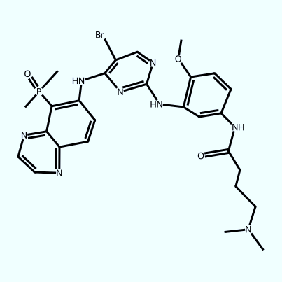 COc1ccc(NC(=O)CCCN(C)C)cc1Nc1ncc(Br)c(Nc2ccc3nccnc3c2P(C)(C)=O)n1